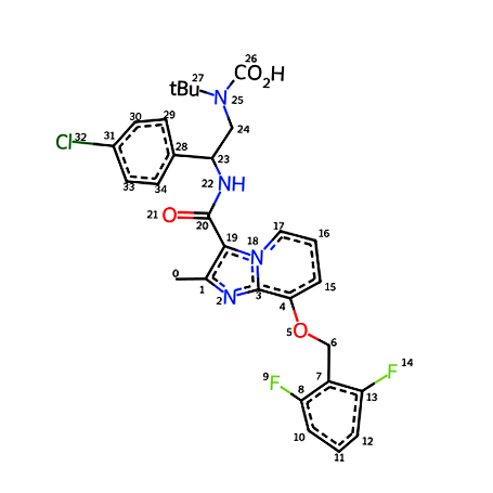 Cc1nc2c(OCc3c(F)cccc3F)cccn2c1C(=O)NC(CN(C(=O)O)C(C)(C)C)c1ccc(Cl)cc1